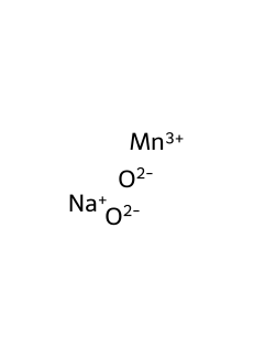 [Mn+3].[Na+].[O-2].[O-2]